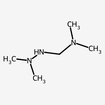 CN(C)CNN(C)C